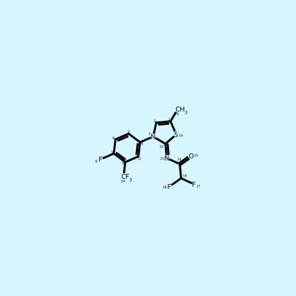 Cc1cn(-c2ccc(F)c(C(F)(F)F)c2)c(=NC(=O)C(F)F)s1